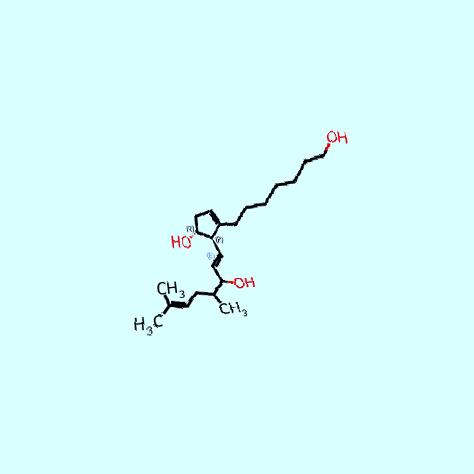 CC(C)=CCC(C)C(O)/C=C/[C@@H]1C(CCCCCCCO)=CC[C@H]1O